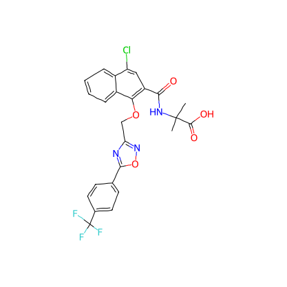 CC(C)(NC(=O)c1cc(Cl)c2ccccc2c1OCc1noc(-c2ccc(C(F)(F)F)cc2)n1)C(=O)O